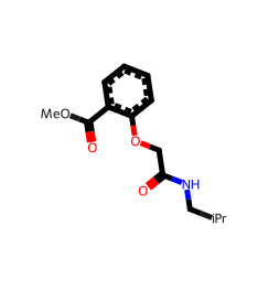 COC(=O)c1ccccc1OCC(=O)NCC(C)C